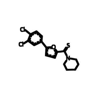 S=C(c1ccc(-c2ccc(Cl)c(Cl)c2)o1)N1CCCCC1